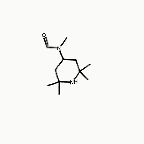 CN(C=O)C1CC(C)(C)NC(C)(C)C1